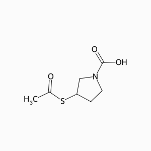 CC(=O)SC1CCN(C(=O)O)C1